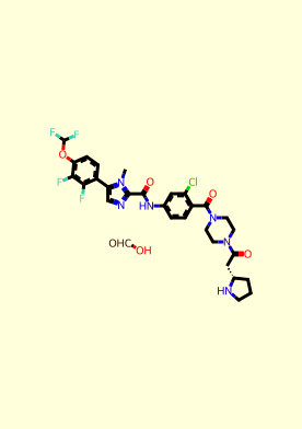 Cn1c(-c2ccc(OC(F)F)c(F)c2F)cnc1C(=O)Nc1ccc(C(=O)N2CCN(C(=O)C[C@@H]3CCCN3)CC2)c(Cl)c1.O=CO